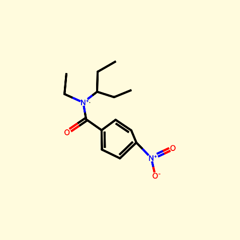 CCC(CC)[N+](CC)C(=O)c1ccc([N+](=O)[O-])cc1